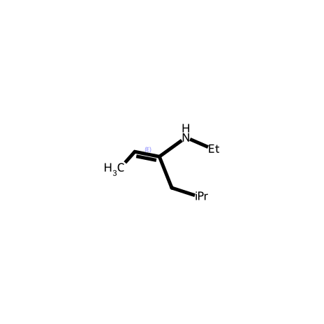 C/C=C(\CC(C)C)NCC